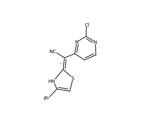 CC(C)C1=CS/C(=C(/C#N)c2ccnc(Cl)n2)N1